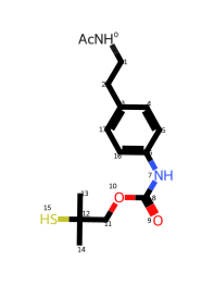 CC(=O)NCCc1ccc(NC(=O)OCC(C)(C)S)cc1